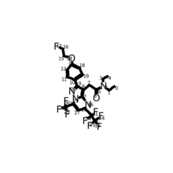 CCN(CC)C(=O)Cc1c(-c2ccc(OCCF)cc2)nn2c(C(F)(F)F)cc(C(F)(F)C(F)(F)F)nc12